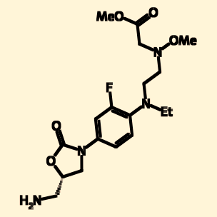 CCN(CCN(CC(=O)OC)OC)c1ccc(N2C[C@H](CN)OC2=O)cc1F